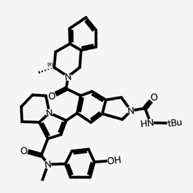 C[C@@H]1Cc2ccccc2CN1C(=O)c1cc2c(cc1-c1cc(C(=O)N(C)c3ccc(O)cc3)c3n1CCCC3)CN(C(=O)NC(C)(C)C)C2